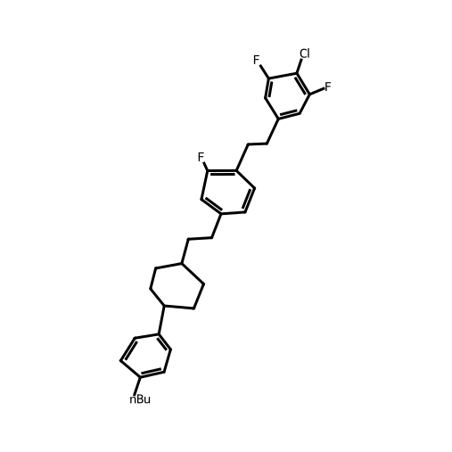 CCCCc1ccc(C2CCC(CCc3ccc(CCc4cc(F)c(Cl)c(F)c4)c(F)c3)CC2)cc1